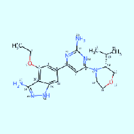 CCOc1cc(-c2cc(N3CCOC[C@H]3C(C)C)nc(N)n2)cc2[nH]nc(N)c12